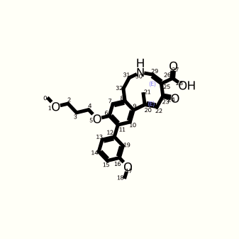 COCCCOc1cc2c(cc1-c1cccc(OC)c1)/C(C)=C/C(=O)/C(C(=O)O)=C\NCC2